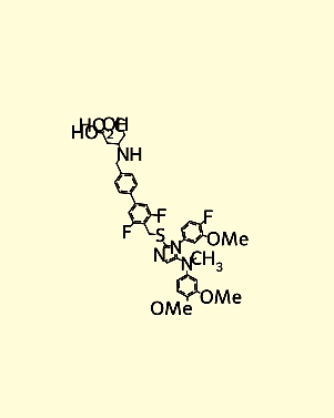 COc1cc(-n2c(N(C)c3ccc(OC)c(OC)c3)cnc2SCc2c(F)cc(-c3ccc(CNC(CC(=O)O)CC(O)O)cc3)cc2F)ccc1F